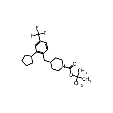 CC(C)(C)OC(=O)N1CCC(Cc2ccc(C(F)(F)F)cc2C2CCCC2)CC1